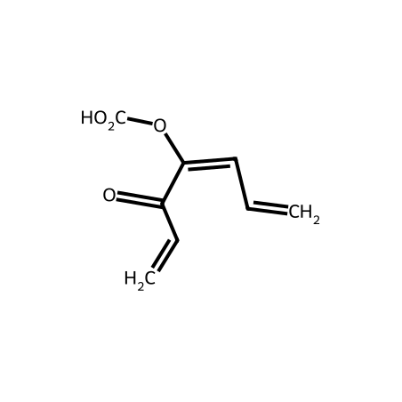 C=CC=C(OC(=O)O)C(=O)C=C